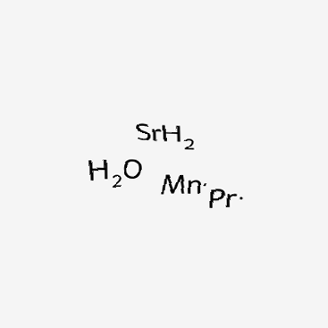 O.[Mn].[Pr].[SrH2]